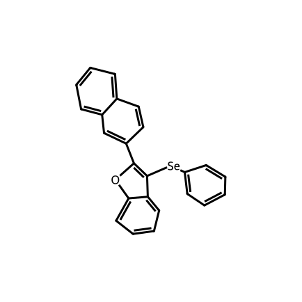 c1ccc([Se]c2c(-c3ccc4ccccc4c3)oc3ccccc23)cc1